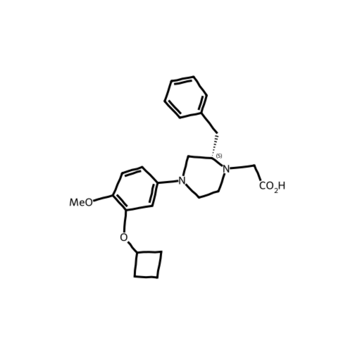 COc1ccc(N2CCN(CC(=O)O)[C@@H](Cc3ccccc3)C2)cc1OC1CCC1